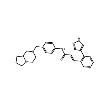 O=C(/C=C/c1cnccc1-c1cn[nH]c1)Nc1ccc(CN2CCN3CCCC3C2)cc1